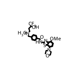 COc1ccc(N2CCOCC2)c2sc(NC(=O)c3ccc(CN(C)CCC(O)C(F)(F)F)cc3)nc12